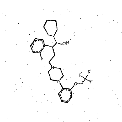 OC(C1CCCCC1)C(CCN1CCN(c2ccccc2OCC(F)(F)F)CC1)c1ccccc1F